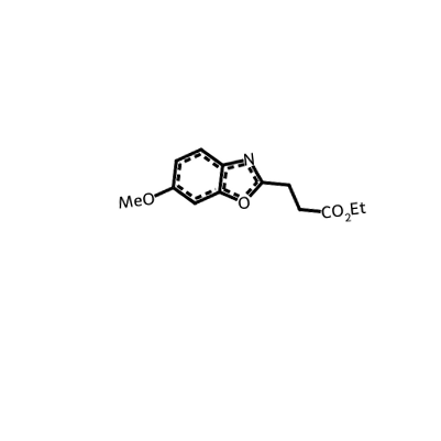 CCOC(=O)CCc1nc2ccc(OC)cc2o1